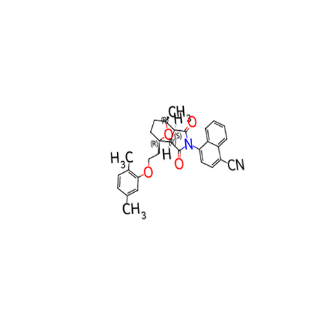 Cc1ccc(C)c(OCC[C@@]23CC[C@@](C)(O2)[C@H]2C(=O)N(c4ccc(C#N)c5ccccc45)C(=O)[C@H]23)c1